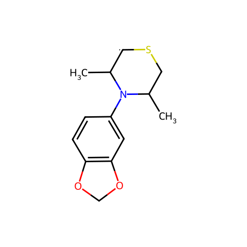 CC1[CH]SCC(C)N1c1ccc2c(c1)OCO2